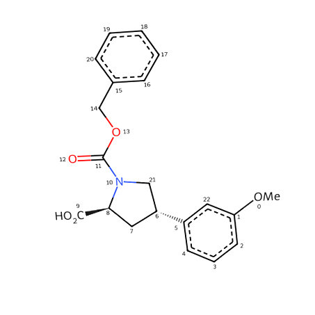 COc1cccc([C@@H]2C[C@@H](C(=O)O)N(C(=O)OCc3ccccc3)C2)c1